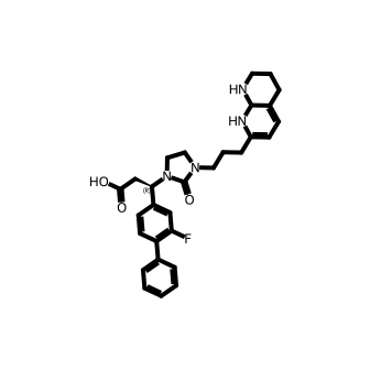 O=C(O)C[C@H](c1ccc(-c2ccccc2)c(F)c1)N1CCN(CCCC2=CC=C3CCCNC3N2)C1=O